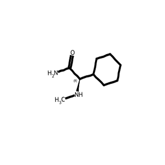 CN[C@@H](C(N)=O)C1CCCCC1